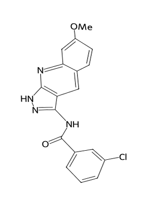 COc1ccc2cc3c(NC(=O)c4cccc(Cl)c4)n[nH]c3nc2c1